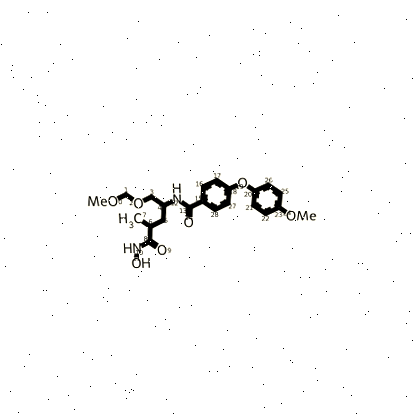 COCOCC(CC(C)C(=O)NO)NC(=O)c1ccc(Oc2ccc(OC)cc2)cc1